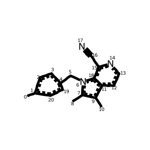 Cc1ccc(Cn2c(C)c(C)c3ccnc(C#N)c32)cc1